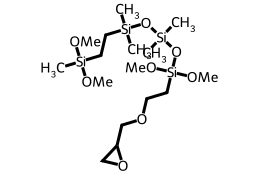 CO[Si](C)(CC[Si](C)(C)O[Si](C)(C)O[Si](CCOCC1CO1)(OC)OC)OC